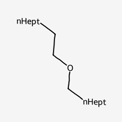 [CH2]CCCCCCCOCCCCCCCCC